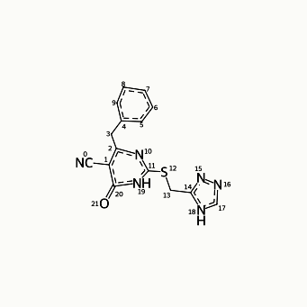 N#Cc1c(Cc2ccccc2)nc(SCc2nnc[nH]2)[nH]c1=O